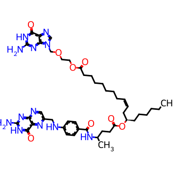 CCCCCC[C@H](C/C=C\CCCCCCCC(=O)OCCOCn1cnc2c(=O)[nH]c(N)nc21)OC(=O)CCC(C)NC(=O)c1ccc(NCc2cnc3nc(N)[nH]c(=O)c3n2)cc1